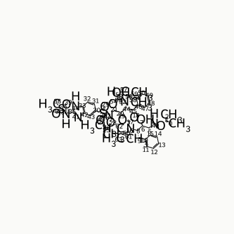 CC(C)ONC[C@H](O)[C@H](Cc1ccccc1)N(C(=O)O[C@@H](CN(OC(C)C)S(=O)(=O)c1ccc2[nH]c(NS(C)(=O)=O)nc2c1)[C@H](Cc1ccccc1)N(C(=O)O)C(C)(C)C)C(C)(C)C